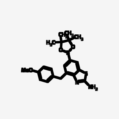 COc1ccc(Cc2cc(B3OC(C)(C)C(C)(C)O3)cc3sc(N)nc23)cc1